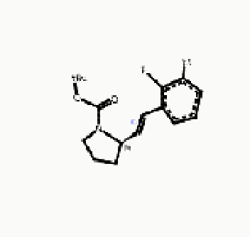 CCc1cccc(/C=C/[C@H]2CCCN2C(=O)OC(C)(C)C)c1F